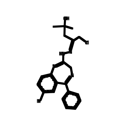 CC(C)(O)C/C(CCl)=N\NC1=Nc2ccc(Br)cc2C(c2ccccc2)=NC1